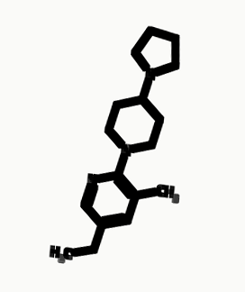 CCc1cnc(N2CCC(N3CCCC3)CC2)c(C)c1